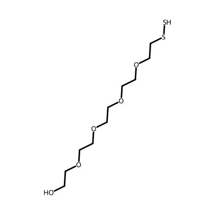 OCCOCCOCCOCCOCCSS